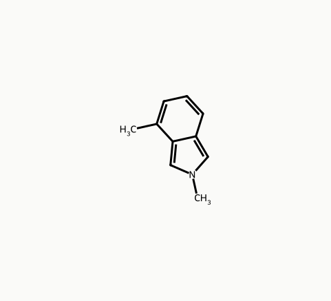 Cc1cccc2cn(C)cc12